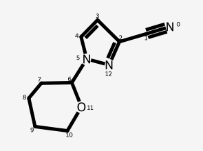 N#Cc1ccn(C2CCCCO2)n1